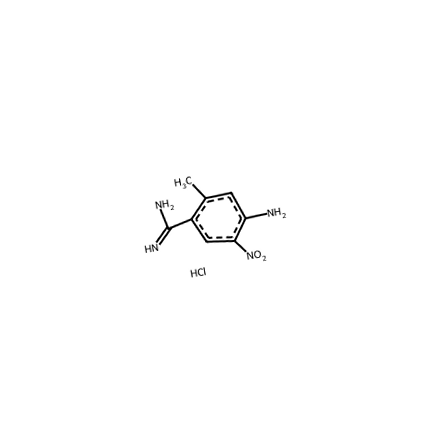 Cc1cc(N)c([N+](=O)[O-])cc1C(=N)N.Cl